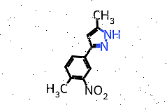 Cc1cc(-c2ccc(C)c([N+](=O)[O-])c2)n[nH]1